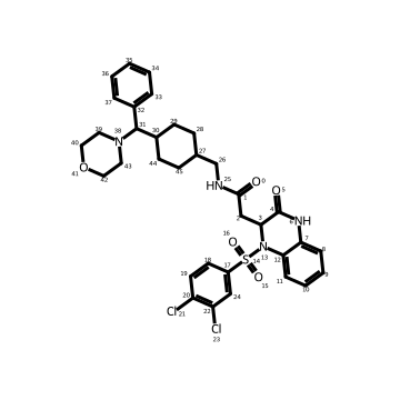 O=C(CC1C(=O)Nc2ccccc2N1S(=O)(=O)c1ccc(Cl)c(Cl)c1)NCC1CCC(C(c2ccccc2)N2CCOCC2)CC1